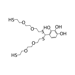 Oc1ccc(C(SCCOCCOCCS)SCCOCCOCCS)c(O)c1O